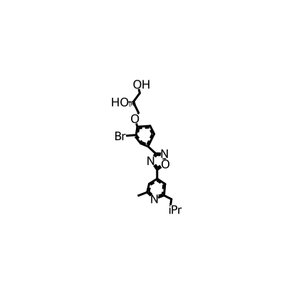 Cc1cc(-c2nc(-c3ccc(OC[C@H](O)CO)c(Br)c3)no2)cc(CC(C)C)n1